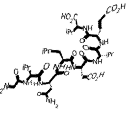 CC(C)C[C@H](NC(=O)[C@H](CC(N)=O)NC(=O)[C@@H](NC(=O)CN)C(C)C)C(=O)N[C@@H](CC(=O)O)C(=O)N[C@H](C(=O)N[C@@H](CCC(=O)O)C(=O)N[C@H](C(=O)O)C(C)C)C(C)C